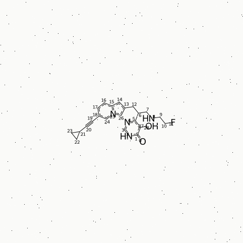 O=c1[nH]cnc(C(CNCCF)Cc2cc3ccc(C#CC4CC4)cn3c2)c1O